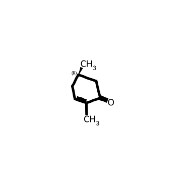 CC1=CC[C@@H](C)CC1=O